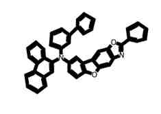 c1ccc(-c2cccc(N(c3ccc4oc5cc6nc(-c7ccccc7)oc6cc5c4c3)c3cc4ccccc4c4ccccc34)c2)cc1